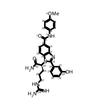 COc1ccc(NC(=O)c2ccc3c(c2)nc(-c2cccc(O)c2)n3[C@@H](CCCNC(=N)N)C(N)=O)cc1